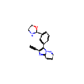 C#Cc1nc2cccnn2c1-c1cccc(C2NCCO2)c1